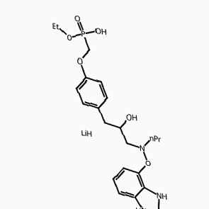 CCCN(CC(O)Cc1ccc(OCP(=O)(O)OCC)cc1)Oc1cccc2[nH]c(=O)[nH]c12.[LiH]